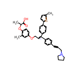 Cc1ccc(-c2ccc(/C(=C\COc3ccc(OC(C)C(=O)O)c(C)c3)c3ccc(C#CCN4CCCC4)cc3)cc2)s1